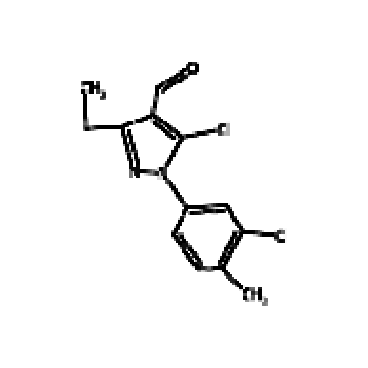 CCc1nn(-c2ccc(C)c(Cl)c2)c(Cl)c1C=O